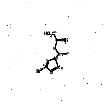 C[C@H](CC(=N)C(=O)O)n1cc(Br)cn1